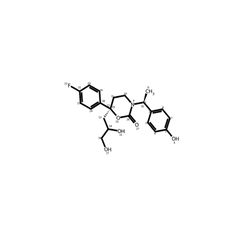 C[C@@H](c1ccc(O)cc1)N1CC[C@](CC(O)CO)(c2ccc(F)cc2)OC1=O